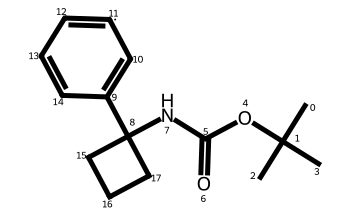 CC(C)(C)OC(=O)NC1(c2c[c]ccc2)CCC1